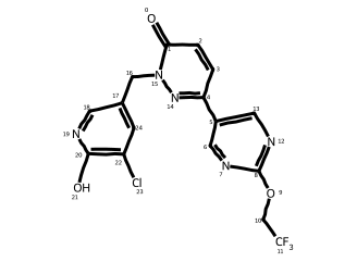 O=c1ccc(-c2cnc(OCC(F)(F)F)nc2)nn1Cc1cnc(O)c(Cl)c1